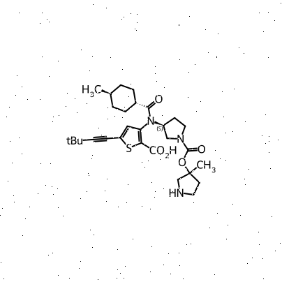 CC(C)(C)C#Cc1cc(N(C(=O)[C@H]2CC[C@H](C)CC2)[C@H]2CCN(C(=O)OC3(C)CCNC3)C2)c(C(=O)O)s1